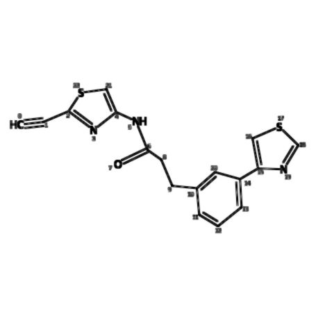 C#Cc1nc(NC(=O)CCc2cccc(-c3cscn3)c2)cs1